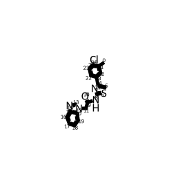 Cc1cc(-c2csc(NC(=O)Cn3cnc4ccccc43)n2)ccc1Cl